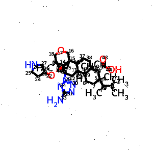 CC(C)[C@@H](C)[C@@]1(C)CC[C@]2(C)[C@H]3CC[C@@H]4C5(COC[C@]4(C)[C@@H](OC4CCNC4)[C@H](n4nnc(N)n4)C5)C3=CC[C@@]2(C)[C@@H]1C(=O)O